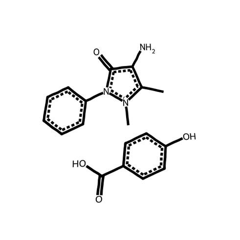 Cc1c(N)c(=O)n(-c2ccccc2)n1C.O=C(O)c1ccc(O)cc1